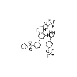 Cc1nc(C(F)(F)F)cn1-c1c(F)cc(-c2cccc(S(=O)(=O)N3CCCC3)c2)cc1-n1nncc1-c1ccc(OC(F)(F)F)cc1